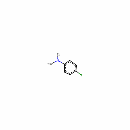 CCN(c1ccc(F)cc1)C(C)(C)C